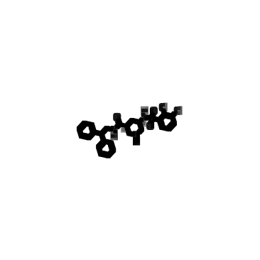 O=C(NCC(c1ccccc1)c1ccccc1)[C@@H]1CNC[C@H](NS(=O)(=O)c2cccc(Cl)c2Cl)C1